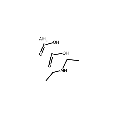 C[CH2][AlH][CH2]C.O=PO.O=PO.[AlH3]